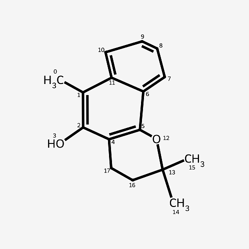 Cc1c(O)c2c(c3ccccc13)OC(C)(C)CC2